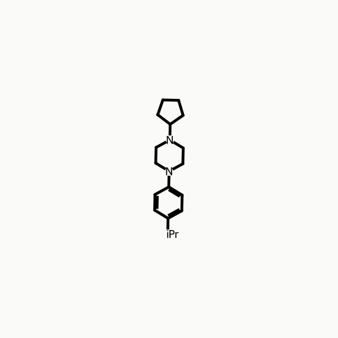 CC(C)c1ccc(N2CCN(C3CCCC3)CC2)cc1